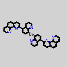 [Be]([c]1ccc(-c2ccc3ccc4cccnc4c3n2)c2cccnc12)[c]1ccc(-c2ccc3ccc4cccnc4c3n2)c2cccnc12